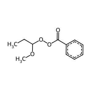 CCC(OC)OOC(=O)c1ccccc1